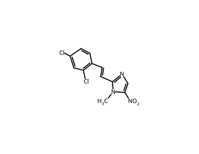 Cn1c([N+](=O)[O-])cnc1/C=C/c1ccc(Cl)cc1Cl